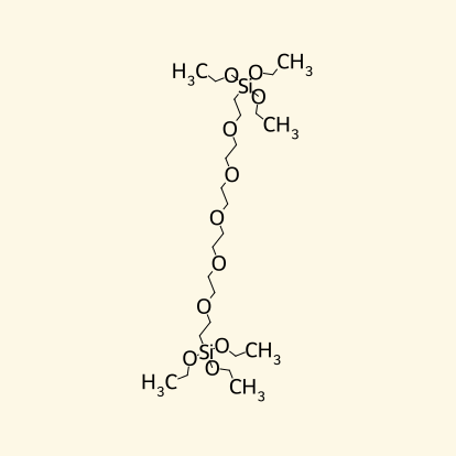 CCO[Si](CCOCCOCCOCCOCCOCC[Si](OCC)(OCC)OCC)(OCC)OCC